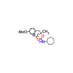 COc1ccc(CC(C)(C)OC(=O)NC2CCCCCC2)cc1